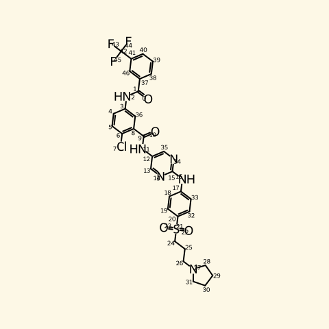 O=C(Nc1ccc(Cl)c(C(=O)Nc2cnc(Nc3ccc(S(=O)(=O)CCCN4CCCC4)cc3)nc2)c1)c1cccc(C(F)(F)F)c1